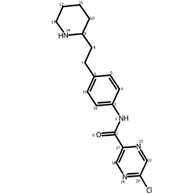 O=C(Nc1ccc(CCC2CCCCN2)cc1)c1cnc(Cl)cn1